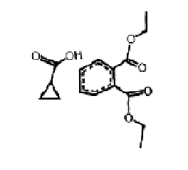 CCOC(=O)c1ccccc1C(=O)OCC.O=C(O)C1CC1